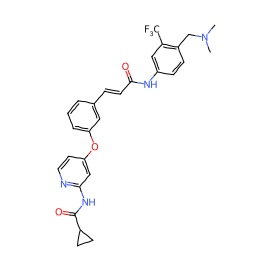 CN(C)Cc1ccc(NC(=O)C=Cc2cccc(Oc3ccnc(NC(=O)C4CC4)c3)c2)cc1C(F)(F)F